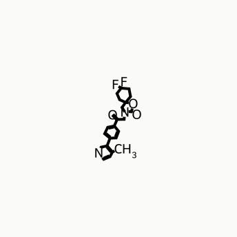 Cc1ccncc1-c1ccc(C(=O)CN2CC3(CCC(F)(F)CC3)OC2=O)cc1